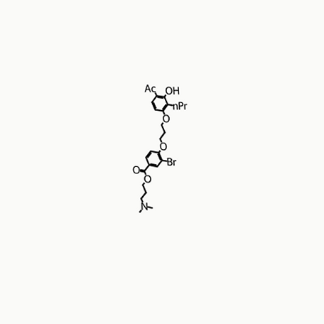 CCCc1c(OCCCOc2ccc(C(=O)OCCCN(C)C)cc2Br)ccc(C(C)=O)c1O